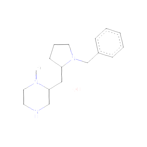 CC(C)N1CCNCC1[C@@H](O)C1CCCN1Cc1ccccc1